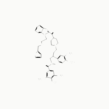 COc1ccc(C(CCN2CCC(C(=O)c3nc4ccccc4n3CCOCc3ccco3)CC2)CN(C)C(=O)c2cc(OC)c(OC)c(OC)c2)cc1OC